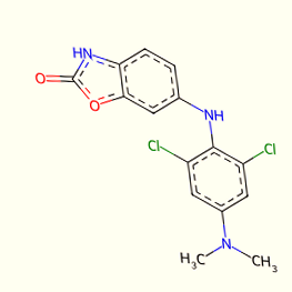 CN(C)c1cc(Cl)c(Nc2ccc3[nH]c(=O)oc3c2)c(Cl)c1